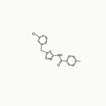 Cc1ccc(C(=O)Nc2ncc(Cc3cccc(Cl)c3)s2)cc1